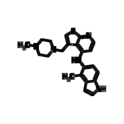 Cc1c(Nc2ccnc3scc(CN4CCN(C)CC4)c23)ccc2[nH]ccc12